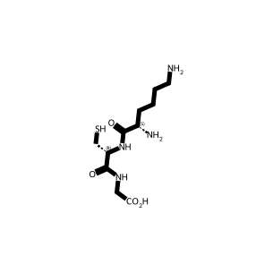 NCCCC[C@H](N)C(=O)N[C@@H](CS)C(=O)NCC(=O)O